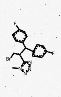 Cn1nnnc1C(CBr)C(c1ccc(F)cc1)c1ccc(F)cc1